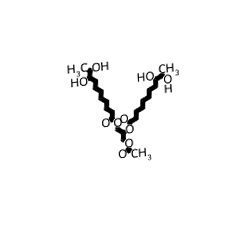 CC(=O)OCC(COC(=O)CCCCCCCC(O)C(C)O)OC(=O)CCCCCCCC(O)C(C)O